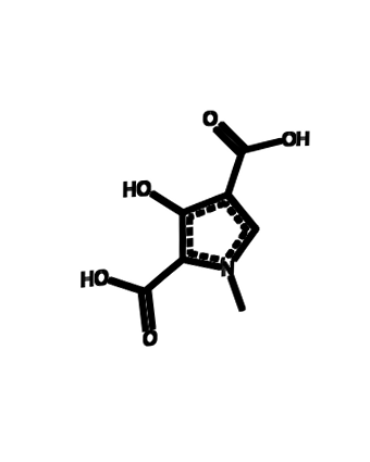 Cn1cc(C(=O)O)c(O)c1C(=O)O